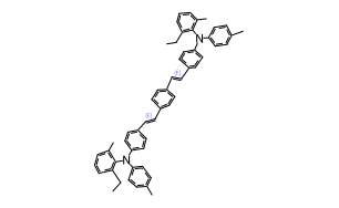 CCc1cccc(C)c1N(c1ccc(C)cc1)c1ccc(/C=C/c2ccc(/C=C/c3ccc(N(c4ccc(C)cc4)c4c(C)cccc4CC)cc3)cc2)cc1